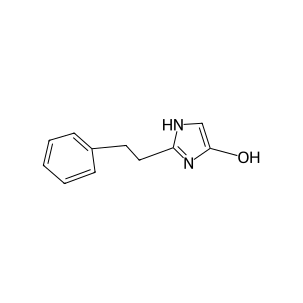 Oc1c[nH]c(CCc2ccccc2)n1